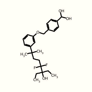 CCC(O)(CC)C(F)(F)CCC(C)(C)c1cccc(OCc2ccc(C(O)O)cc2)c1